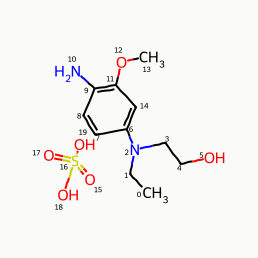 CCN(CCO)c1ccc(N)c(OC)c1.O=S(=O)(O)O